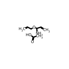 C=CCOC(N)C=C.CC(=O)O